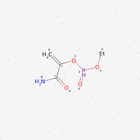 C=C(O[PH](=O)OCC)C(N)=O